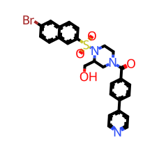 O=C(c1ccc(-c2ccncc2)cc1)N1CCN(S(=O)(=O)c2ccc3cc(Br)ccc3c2)C(CO)C1